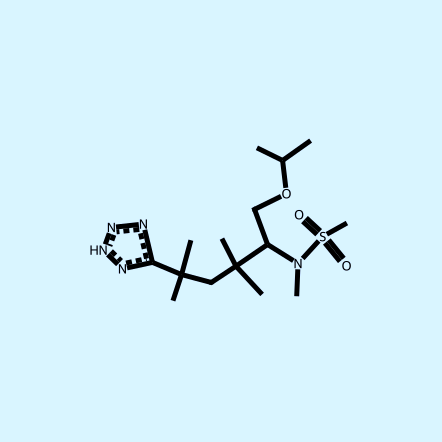 CC(C)OCC(N(C)S(C)(=O)=O)C(C)(C)CC(C)(C)c1nn[nH]n1